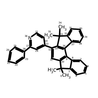 CC1(C)c2ccccc2-c2c1cc(-c1ccnc(-c3ccccc3)c1)c1c2-c2ccccc2C1(C)C